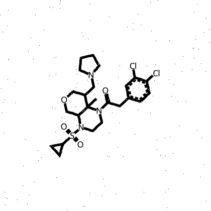 CC12C(CN3CCCC3)COCC1N(S(=O)(=O)C1CC1)CCN2C(=O)Cc1ccc(Cl)c(Cl)c1